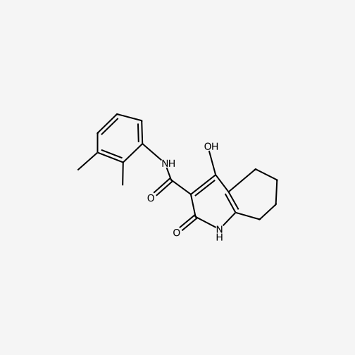 Cc1cccc(NC(=O)c2c(O)c3c([nH]c2=O)CCCC3)c1C